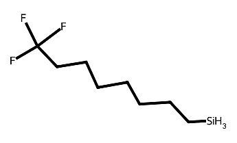 FC(F)(F)CCCCCCC[SiH3]